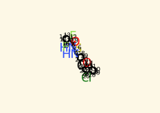 Cc1cc(NC(=S)NC(=O)c2c(F)cccc2F)ccc1Oc1ccc(Cl)c2ccccc12